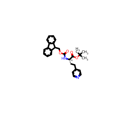 CC(C)(C)OC(=O)[C@H](CCc1ccncc1)NC(=O)OCC1c2ccccc2-c2ccccc21